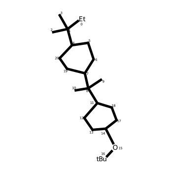 CCC(C)(C)C1CCC(C(C)(C)C2CCC(OC(C)(C)C)CC2)CC1